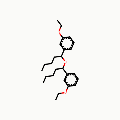 CCCCC(OC(CCCC)c1cccc(OCC)c1)c1cccc(OCC)c1